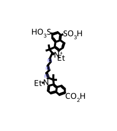 CCN1/C(=C/C=C/C=C/C2=[N+](CC)c3ccc4c(S(=O)(=O)O)cc(S(=O)(=O)O)cc4c3C2(C)C)C(C)(C)c2c1ccc1cc(C(=O)O)ccc21